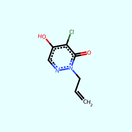 C=CCn1ncc(O)c(Cl)c1=O